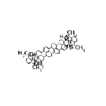 CC(C)c1cccc(C(C)C)c1N1C(=O)c2ccc3c4ccc5c6ccc7c8ccc9c%10c(ccc(c%11ccc(c%12ccc(c%13ccc(c2c3%13)C1=O)c4c5%12)c6c7%11)c%108)C(O)N(c1c(C(C)C)cccc1C(C)C)C9=O